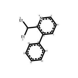 CCC(CC)c1ncccc1-c1ccccc1